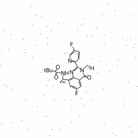 [2H]Cn1c(-c2ccc(F)cn2)nc2c([C@@H](C)NS(=O)(=O)C(C)(C)C)cc(F)cc2c1=O